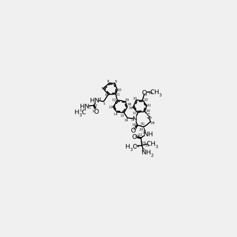 CNC(=O)NCc1ccccc1-c1ccc(CN2C(=O)[C@H](NC(=O)C(C)(C)N)CSc3cc(OC)ccc32)cc1